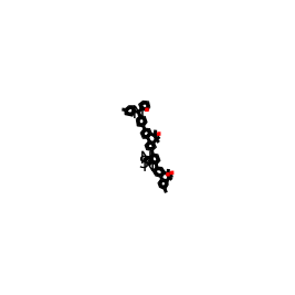 Cc1ccc(N(c2ccccc2)c2ccc(-c3ccc4c(c3)C(C)(C)C(C)(C)c3cc(-c5ccc(-c6ccc7c(c6)C(C)(C)C(C)(C)c6cc(C)ccc6-7)c6nsnc56)ccc3-4)cc2)cc1